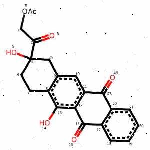 CC(=O)OCC(=O)C1(O)CCc2c(cc3c(c2O)C(=O)c2ccccc2C3=O)C1